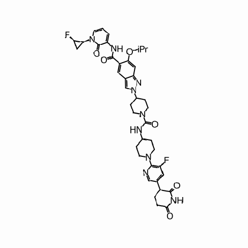 CC(C)Oc1cc2nn(C3CCN(C(=O)NC4CCN(c5ncc(C6CCC(=O)NC6=O)cc5F)CC4)CC3)cc2cc1C(=O)Nc1cccn([C@H]2C[C@H]2F)c1=O